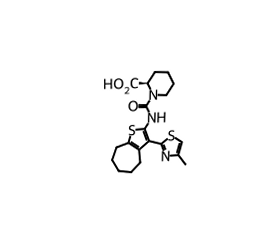 Cc1csc(-c2c(NC(=O)N3CCCC[C@@H]3C(=O)O)sc3c2CCCCC3)n1